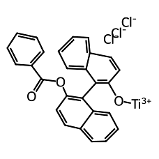 O=C(Oc1ccc2ccccc2c1-c1c([O][Ti+3])ccc2ccccc12)c1ccccc1.[Cl-].[Cl-].[Cl-]